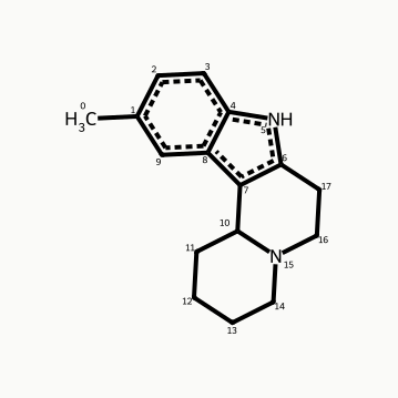 Cc1ccc2[nH]c3c(c2c1)C1CCCCN1CC3